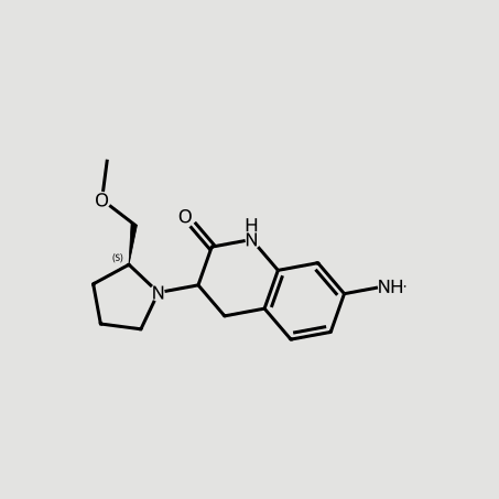 COC[C@@H]1CCCN1C1Cc2ccc([NH])cc2NC1=O